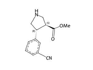 COC(=O)[C@@H]1CNC[C@H]1c1cccc(C#N)c1